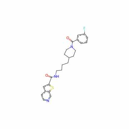 O=C(NCCCCC1CCN(C(=O)c2cccc(F)c2)CC1)c1cc2ccncc2s1